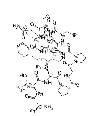 CC[C@H](C)[C@H](NC(=O)[C@@H]1CCCN1C(=O)CNC(=O)[C@@H]1CCCN1C(=O)[C@H](CC(C)C)NC(=O)[C@@H](NC(=O)[C@@H](N)C(C)C)[C@@H](C)O)C(=O)N[C@@H](CC(C)C)C(=O)N[C@@H](CO)C(=O)N[C@@H](CO)C(=O)N[C@@H](Cc1ccccc1)C(=O)N1CCC[C@H]1C(=O)N[C@@H](CCC(N)=O)C(=O)O